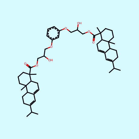 CC(C)C1=CC2=CCC3C(C)(C(=O)OCC(O)COc4cccc(OCC(O)COC(=O)C5(C)CCCC6(C)C7CCC(C(C)C)=CC7=CCC56)c4)CCCC3(C)C2CC1